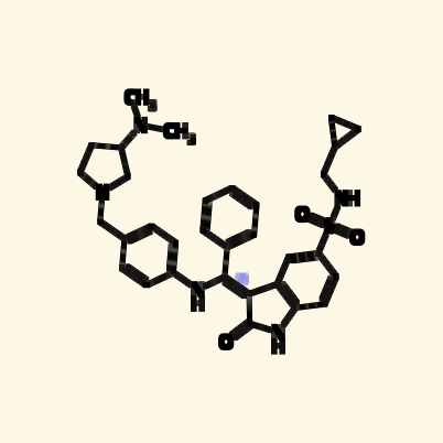 CN(C)C1CCN(Cc2ccc(N/C(=C3\C(=O)Nc4ccc(S(=O)(=O)NCC5CC5)cc43)c3ccccc3)cc2)C1